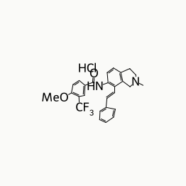 COc1ccc(C(=O)Nc2ccc3c(c2/C=C/c2ccccc2)CN(C)CC3)cc1C(F)(F)F.Cl